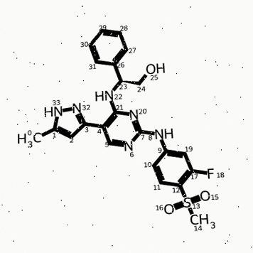 Cc1cc(-c2cnc(Nc3ccc(S(C)(=O)=O)c(F)c3)nc2N[C@H](CO)c2ccccc2)n[nH]1